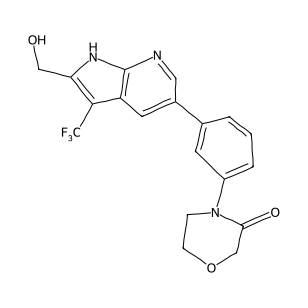 O=C1COCCN1c1cccc(-c2cnc3[nH]c(CO)c(C(F)(F)F)c3c2)c1